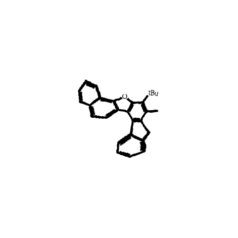 Cc1c2c(c3c(oc4c5ccccc5ccc43)c1C(C)(C)C)-c1ccccc1C2